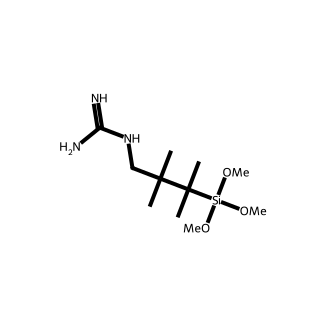 CO[Si](OC)(OC)C(C)(C)C(C)(C)CNC(=N)N